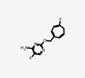 Nc1nc(OCC2=CC=C(F)CC=C2)ncc1F